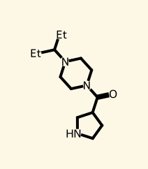 CCC(CC)N1CCN(C(=O)C2CCNC2)CC1